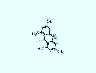 Cc1cc(C)c([S+]([O-])c2c(C)cc(C)cc2C)c(C)c1